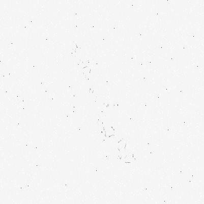 Cn1c2ccncc2c2ccc(-c3ccc(O[C@H]4C[C@H](N(C)C5CC6(C5)CN(CCOc5ccc7c(c5)C(=O)N(C5CCC(=O)NC5=O)C7=O)C6)C4)nc3)cc21